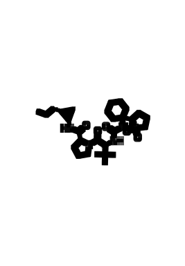 CCC[C@@H]1C[C@@H]1NC(=O)[C@@H]1CCCN1C(=O)[C@@H](NC(=O)NC1([C@H]2CCCS2(=O)=O)CCCCC1)C(C)(C)C